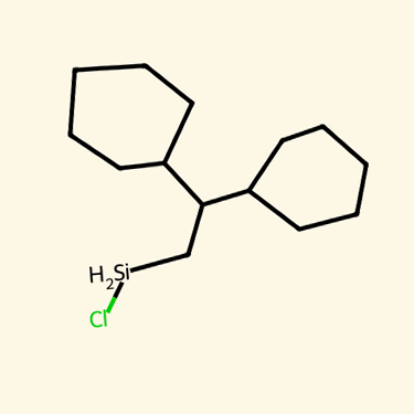 Cl[SiH2]CC(C1CCCCC1)C1CCCCC1